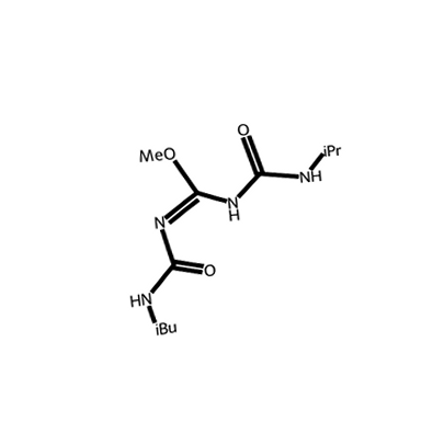 CCC(C)NC(=O)N=C(NC(=O)NC(C)C)OC